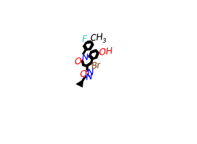 Cc1ccc(CN2C(=O)CC(c3nnc(C4CC4)o3)=C(Br)c3cc(O)ccc32)cc1F